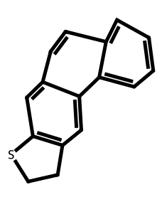 c1ccc2c(c1)ccc1cc3c(cc12)CCS3